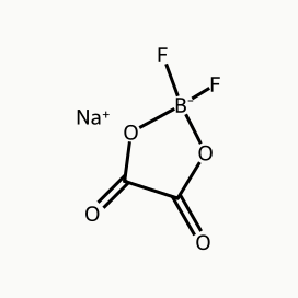 O=C1O[B-](F)(F)OC1=O.[Na+]